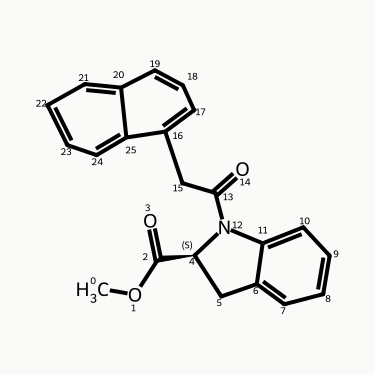 COC(=O)[C@@H]1Cc2ccccc2N1C(=O)Cc1cccc2ccccc12